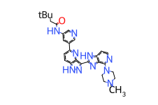 CN1CCN(c2nccc3[nH]c(-c4n[nH]c5ccc(-c6cncc(NC(=O)CC(C)(C)C)c6)nc45)nc23)CC1